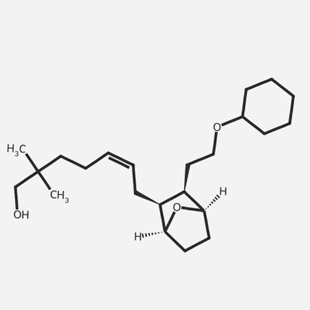 CC(C)(CO)CC/C=C\C[C@H]1[C@@H](CCOC2CCCCC2)[C@H]2CC[C@@H]1O2